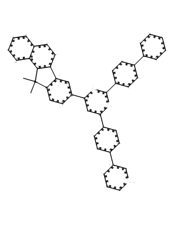 CC1(C)c2ccc(-c3cc(-c4ccc(-c5cccnc5)cc4)nc(-c4ccc(-c5ccccc5)cc4)n3)cc2-c2ccc3ccccc3c21